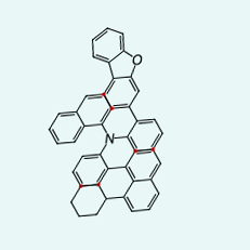 c1ccc(N(c2ccccc2-c2cccc3cccc(C4CCCCC4)c23)c2cccc3ccccc23)c(-c2ccc3c(c2)oc2ccccc23)c1